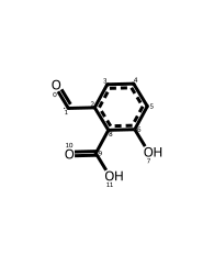 O=[C]c1cccc(O)c1C(=O)O